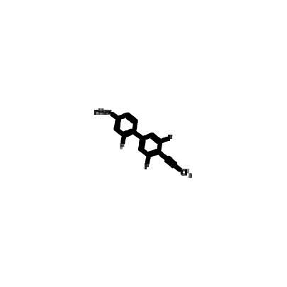 CCCCCCc1ccc(-c2cc(F)c(C#CC(F)(F)F)c(F)c2)c(F)c1